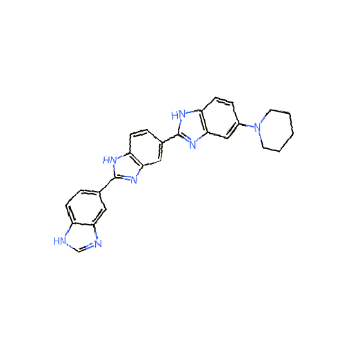 c1nc2cc(-c3nc4cc(-c5nc6cc(N7CCCCC7)ccc6[nH]5)ccc4[nH]3)ccc2[nH]1